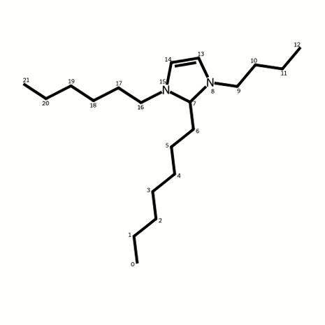 CCCCCCCC1N(CCCC)C=CN1CCCCCC